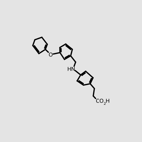 O=C(O)CCc1ccc(NCc2cccc(OC3=CCCC=C3)c2)cc1